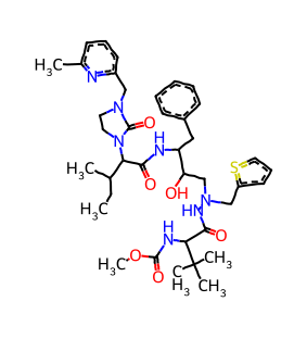 CCC(C)C(C(=O)NC(Cc1ccccc1)C(O)CN(Cc1cccs1)NC(=O)C(NC(=O)OC)C(C)(C)C)N1CCN(Cc2cccc(C)n2)C1=O